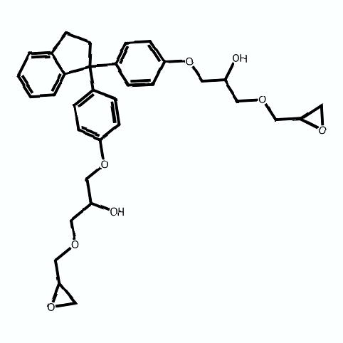 OC(COCC1CO1)COc1ccc(C2(c3ccc(OCC(O)COCC4CO4)cc3)CCc3ccccc32)cc1